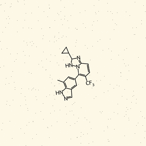 Cc1cc(C2=C(C(F)(F)F)C=CC3=NC(C4CC4)NN32)cc2cn[nH]c12